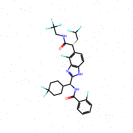 O=C(N[C@H](c1nc2c(F)c([C@@H](CC(F)F)C(=O)NCC(F)(F)F)ccc2[nH]1)C1CCC(F)(F)CC1)c1ccccc1F